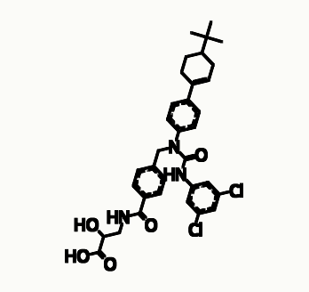 CC(C)(C)C1CC=C(c2ccc(N(Cc3ccc(C(=O)NCC(O)C(=O)O)cc3)C(=O)Nc3cc(Cl)cc(Cl)c3)cc2)CC1